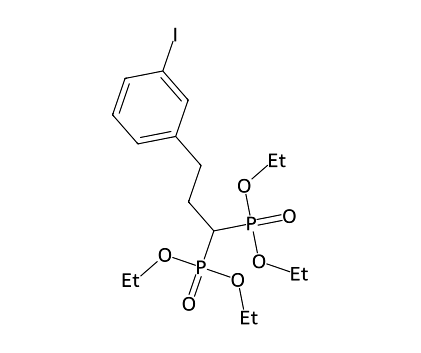 CCOP(=O)(OCC)C(CCc1cccc(I)c1)P(=O)(OCC)OCC